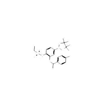 CCS(=O)(=O)Nc1ccc(B2OC(C)(C)C(C)(C)O2)cc1OC(C)c1ccc(F)cc1